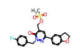 CS(=O)(=O)OCc1cc(-c2ccc3c(c2)CCO3)nn(Cc2ccc(F)cc2)c1=O